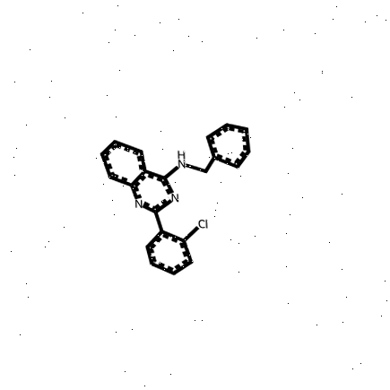 Clc1ccccc1-c1nc(NCc2ccccc2)c2ccccc2n1